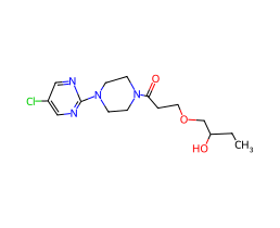 CCC(O)COCCC(=O)N1CCN(c2ncc(Cl)cn2)CC1